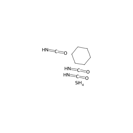 C1CCCCC1.N=C=O.N=C=O.N=C=O.[SiH4]